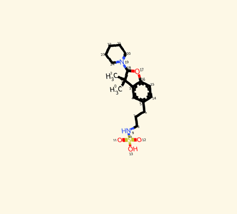 CC1(C)c2cc(CCCNS(=O)(=O)O)ccc2OC1N1CCCCC1